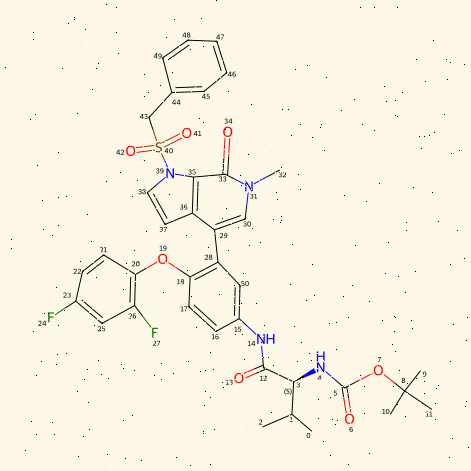 CC(C)[C@H](NC(=O)OC(C)(C)C)C(=O)Nc1ccc(Oc2ccc(F)cc2F)c(-c2cn(C)c(=O)c3c2ccn3S(=O)(=O)Cc2ccccc2)c1